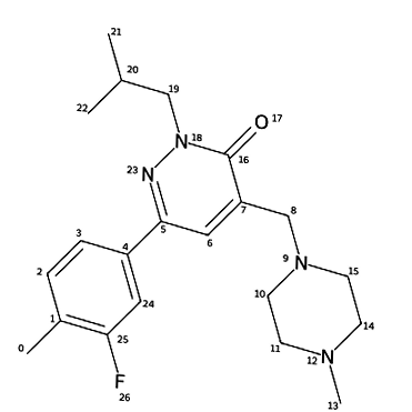 Cc1ccc(-c2cc(CN3CCN(C)CC3)c(=O)n(CC(C)C)n2)cc1F